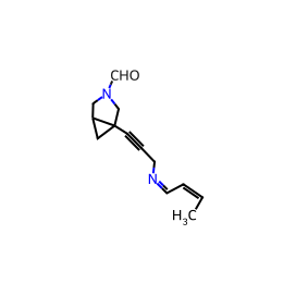 C/C=C\C=N/CC#CC12CC1CN(C=O)C2